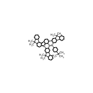 CC(C)(C)c1ccc(N2B3c4cc5c(cc4-n4c6ccc7c(c6c6ccc(c3c64)-c3cc4c(cc32)-c2ccccc2C4(C)C)-c2ccccc2C7(C)C)C(C)(C)c2ccccc2-5)cc1